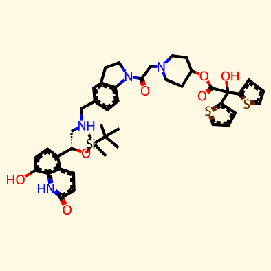 CC(C)(C)[Si](C)(C)O[C@@H](CNCc1ccc2c(c1)CCN2C(=O)CN1CCC(OC(=O)C(O)(c2cccs2)c2cccs2)CC1)c1ccc(O)c2[nH]c(=O)ccc12